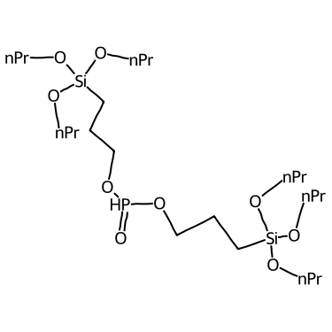 CCCO[Si](CCCO[PH](=O)OCCC[Si](OCCC)(OCCC)OCCC)(OCCC)OCCC